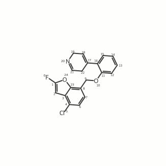 Fc1cc2c(Cl)ccc(COc3ccccc3C3=CCN=CC3)c2o1